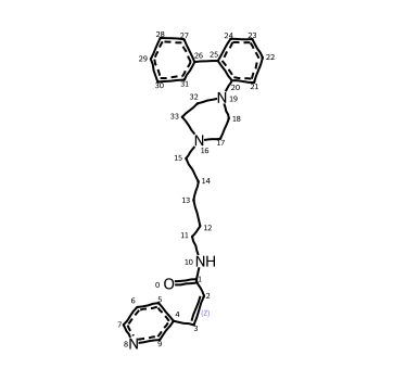 O=C(/C=C\c1cccnc1)NCCCCCN1CCN(c2ccccc2-c2ccccc2)CC1